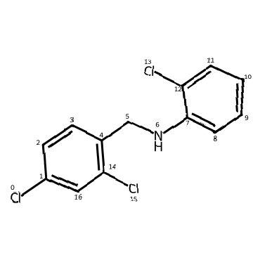 Clc1ccc(CNc2ccccc2Cl)c(Cl)c1